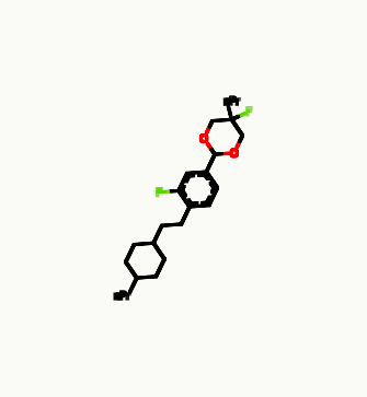 CCCC1CCC(CCc2ccc(C3OCC(F)(CCC)CO3)cc2F)CC1